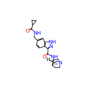 O=C(N[C@@H]1CN2CCC1CC2)c1n[nH]c2cc(CNC(=O)C3CC3)ccc12